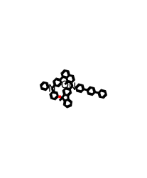 CC1(C)c2ccccc2-c2cc(N(c3ccc(-c4ccc(-c5ccccc5)cc4)cc3)c3ccc4cccc5c4c3Oc3cc(N(c4ccccc4)c4ccccc4)ccc3-5)ccc21